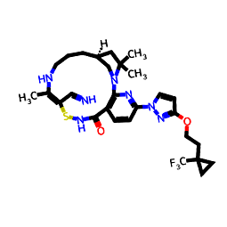 C/C1=C(/C=N)SNC(=O)c2ccc(-n3ccc(OCCC4(C(F)(F)F)CC4)n3)nc2N2C[C@@H](CCCN1)CC2(C)C